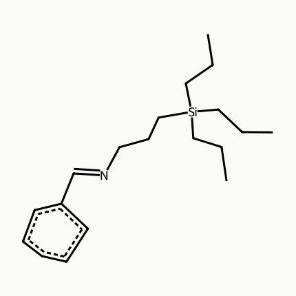 CCC[Si](CCC)(CCC)CCC/N=C/c1ccccc1